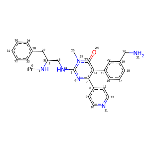 CC(C)N[C@H](CNc1nc(-c2ccncc2)c(-c2cccc(CN)c2)c(=O)n1C)Cc1ccccc1